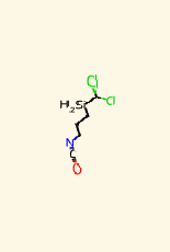 O=C=NCCC[SiH2]C(Cl)Cl